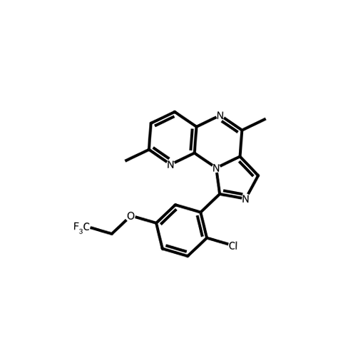 Cc1ccc2nc(C)c3cnc(-c4cc(OCC(F)(F)F)ccc4Cl)n3c2n1